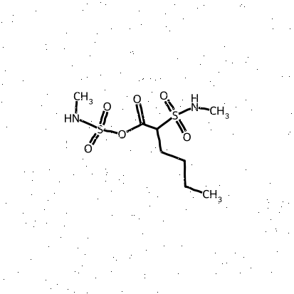 CCCCC(C(=O)OS(=O)(=O)NC)S(=O)(=O)NC